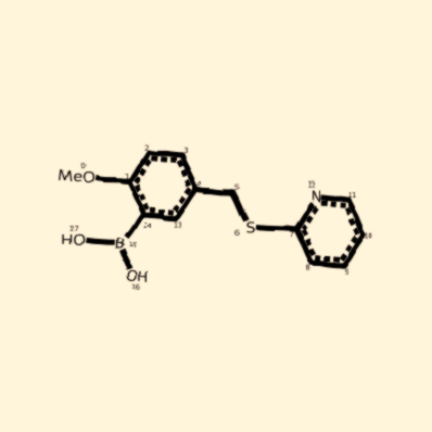 COc1ccc(CSc2ccccn2)cc1B(O)O